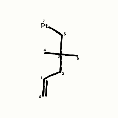 C=CCC(C)(C)[CH2][Pt]